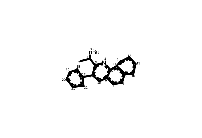 CCCCC(C)c1nc2c(ccc3ccccc32)cc1-c1ccccc1